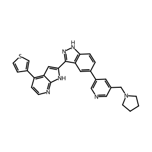 c1cc(-c2ccsc2)c2cc(-c3n[nH]c4ccc(-c5cncc(CN6CCCC6)c5)cc34)[nH]c2n1